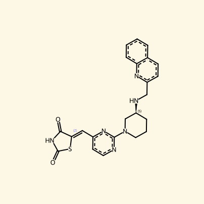 O=C1NC(=O)/C(=C/c2ccnc(N3CCC[C@H](NCc4ccc5ccccc5n4)C3)n2)S1